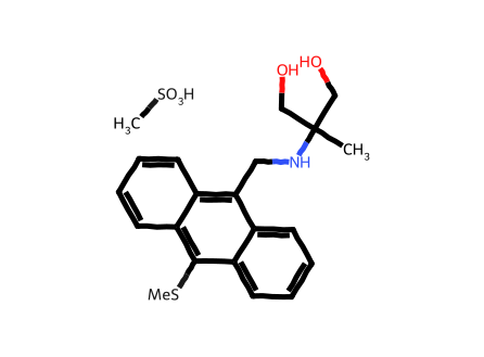 CS(=O)(=O)O.CSc1c2ccccc2c(CNC(C)(CO)CO)c2ccccc12